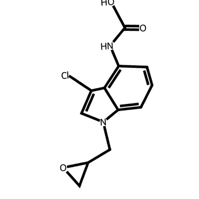 O=C(O)Nc1cccc2c1c(Cl)cn2CC1CO1